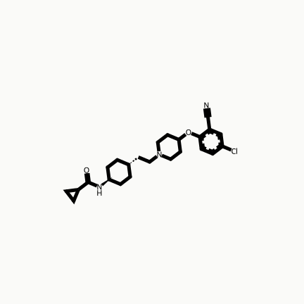 N#Cc1cc(Cl)ccc1OC1CCN(CC[C@H]2CC[C@H](NC(=O)C3CC3)CC2)CC1